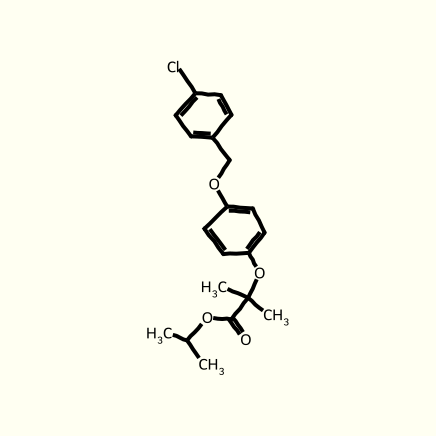 CC(C)OC(=O)C(C)(C)Oc1ccc(OCc2ccc(Cl)cc2)cc1